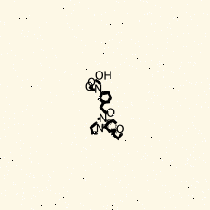 CN(C(=O)Cc1cccc(N(C=O)CC(=O)O)c1)[C@@H]1CC[C@]2(CCCO2)C[C@H]1N1CCCC1